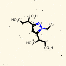 CC(=O)Cn1nc(C(CC(=O)O)C(=O)O)cc1C(CC(=O)O)C(=O)O